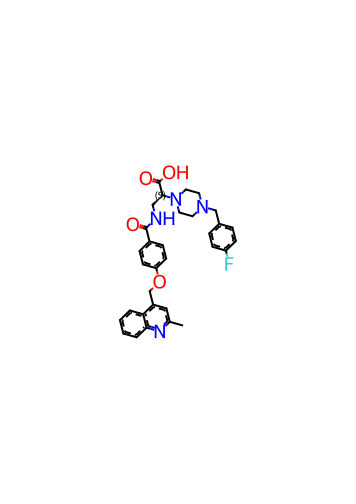 Cc1cc(COc2ccc(C(=O)NC[C@@H](C(=O)O)N3CCN(Cc4ccc(F)cc4)CC3)cc2)c2ccccc2n1